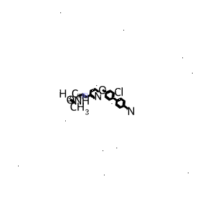 CC(=O)N[C@@H](C)/C=C/c1ccc(Oc2ccc(-c3ccc(C#N)cc3)c(Cl)c2)nc1